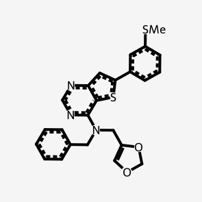 CSc1cccc(-c2cc3ncnc(N(CC4=COCO4)Cc4ccccc4)c3s2)c1